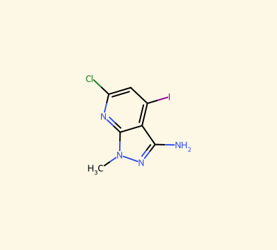 Cn1nc(N)c2c(I)cc(Cl)nc21